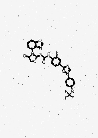 O=C(/N=C1\SCC(=O)N1c1cccc2ocnc12)Nc1ccc(-c2ncn(-c3ccc(OC(F)(F)F)cc3)n2)cc1F